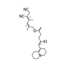 C=C(CC/C(=C/C1=C2CCCCN2CCC1)CC)OC/C(C)=C\C(C)=C(/C#N)CC#N